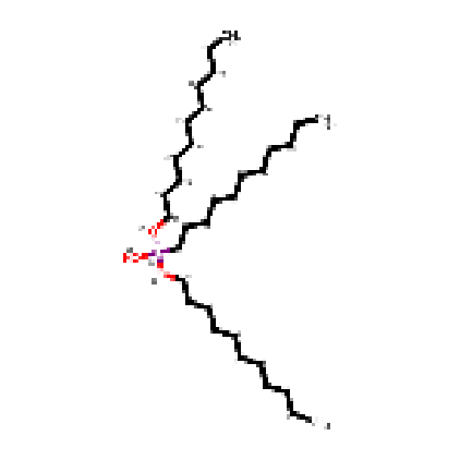 CCCCCCCCCCCO[PH](O)(CCCCCCCCCCC)OCCCCCCCCCCC